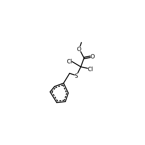 COC(=O)C(Cl)(Cl)SCc1ccccc1